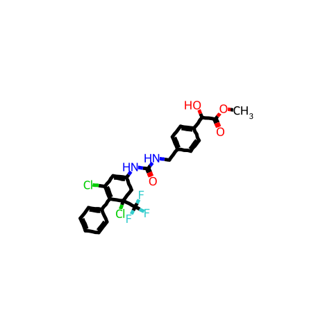 COC(=O)C(O)c1ccc(CNC(=O)NC2=CC(Cl)=C(c3ccccc3)C(Cl)(C(F)(F)F)C2)cc1